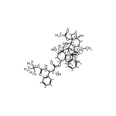 CO[C@H]1C(=O)[C@]2(C)[C@@H](OC)C[C@H]3OC[C@@]3(OC(C)=O)[C@]23NCC2(C)C1=C(C)[C@@H](OC(=O)[C@H](O)C(NC(=O)OC(C)(C)C)c1ccccc1)C[C@@]2(O)[C@H]3OC(=O)c1ccccc1